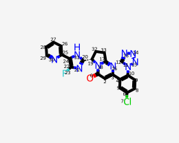 O=c1cc(-c2cc(Cl)ccc2-n2cnnn2)nc2n1[C@H](c1nc(F)c(-c3cc[c]cn3)[nH]1)CC2